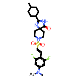 CC(=O)N(C)c1cc(F)c(C=CS(=O)(=O)N2CCC3(CC2)N=C(C2CCC(C)CC2)NC3=O)c(F)c1